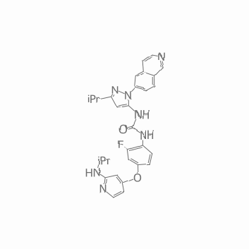 CC(C)Nc1cc(Oc2ccc(NC(=O)Nc3cc(C(C)C)nn3-c3ccc4cnccc4c3)c(F)c2)ccn1